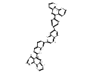 c1cnc2c(c1)cc(-c1ccc(-c3ccc4ccc(-c5ccc6ccc(-c7cc8cccnc8c8ncccc78)nc6c5)nc4c3)cc1)c1cccnc12